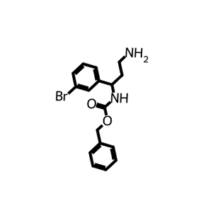 NCCC(NC(=O)OCc1ccccc1)c1cccc(Br)c1